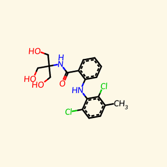 Cc1ccc(Cl)c(Nc2ccccc2C(=O)NC(CO)(CO)CO)c1Cl